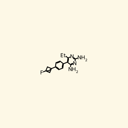 CCc1nc(N)nc(N)c1-c1ccc(C23CC(F)(C2)C3)cc1